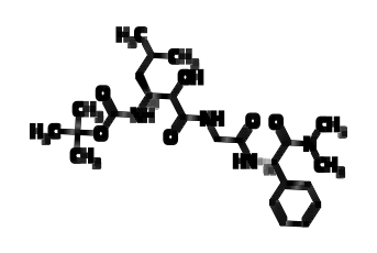 CC(C)C[C@H](NC(=O)OC(C)(C)C)C(O)C(=O)NCC(=O)N[C@H](C(=O)N(C)C)c1ccccc1